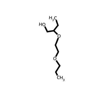 CCCOCCOC(CC)CO